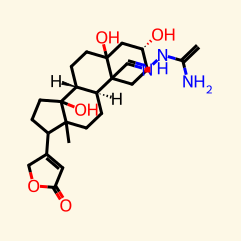 C=C(N)N/N=C/C12CC[C@@H](O)CC1(O)CC[C@@H]1[C@@H]2CCC2(C)C(C3=CC(=O)OC3)CCC12O